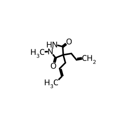 C=CCC1(CC=CC)C(=O)NN(C)C1=O